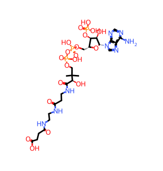 CC(C)(COP(=O)(O)OP(=O)(O)OC[C@H]1O[C@@H](n2cnc3c(N)ncnc32)[C@H](O)[C@@H]1OP(=O)(O)O)[C@@H](O)C(=O)NCCC(=O)NCCNC(=O)CCC(=O)O